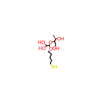 C[C@@H](O)C(CO)OC(OCCCCCS)C(O)O